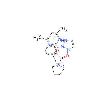 Cc1cc(C)nc(OCC2CC3CCC2N3C(=O)c2cccc(F)c2N2NC=CN2)n1